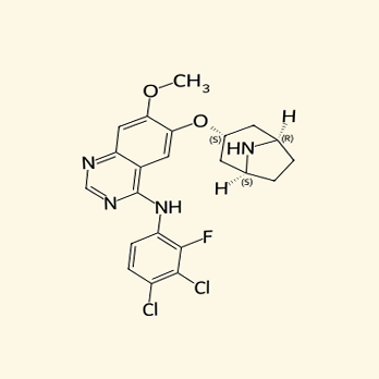 COc1cc2ncnc(Nc3ccc(Cl)c(Cl)c3F)c2cc1O[C@@H]1C[C@H]2CC[C@@H](C1)N2